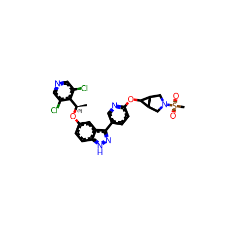 C[C@@H](Oc1ccc2[nH]nc(-c3ccc(OC4C5CN(S(C)(=O)=O)CC54)nc3)c2c1)c1c(Cl)cncc1Cl